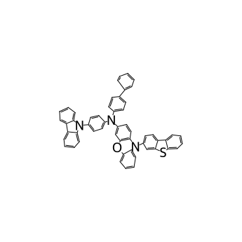 c1ccc(-c2ccc(N(c3ccc(-n4c5ccccc5c5ccccc54)cc3)c3ccc4c(c3)Oc3ccccc3N4c3ccc4c(c3)sc3ccccc34)cc2)cc1